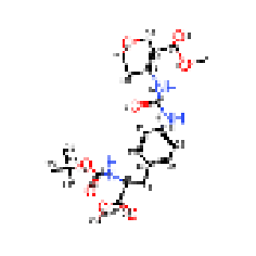 COC(=O)C1=C(NC(=O)Nc2ccc(CC(NC(=O)OC(C)(C)C)C(=O)OC)cc2)CCOC1